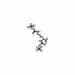 [O]C(=O)[C@H](CCCCNC(=O)OCC(Cl)(Cl)Cl)NC(=O)OCC(Cl)(Cl)Cl